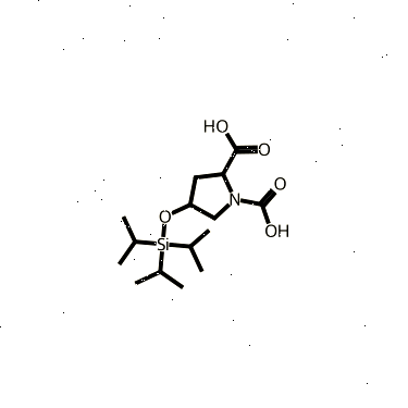 CC(C)[Si](OC1CC(C(=O)O)N(C(=O)O)C1)(C(C)C)C(C)C